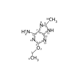 CCOc1nc(N)c2nc(C)[nH]c2n1